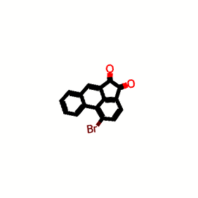 O=C1C(=O)c2cc3ccccc3c3c(Br)ccc1c23